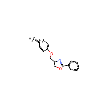 C=C/C=C\C(=C/C)OCC1COC(c2ccccc2)=N1